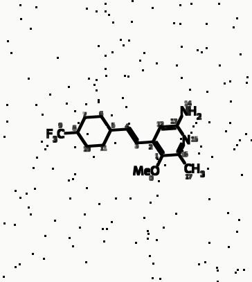 COc1c(/C=C/C2CCC(C(F)(F)F)CC2)cc(N)nc1C